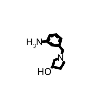 Nc1cccc(CN2CCC(O)C2)c1